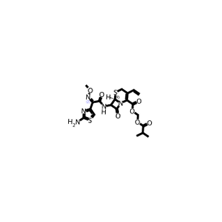 C=CC1=C(C(=O)OCOC(=O)C(C)C)N2C(=O)C(NC(=O)/C(=N\OC)c3csc(N)n3)[C@H]2SC1